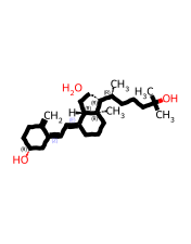 C=C1CC[C@@H](O)C/C1=C/C=C1\CCC[C@]2(C)[C@@H]([C@H](C)CCCC(C)(C)O)CC[C@@H]12.O